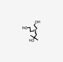 CC(C)(O)CN(CCO)CCO